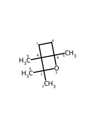 CC1(C)OC2(C)CCC12C